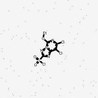 CCOc1nc(Cl)c(Cl)c2nc(S(=O)(=O)Cl)nn12